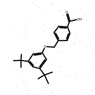 CC(C)(C)c1cc(OCc2ccc(C(=O)O)cc2)cc(C(C)(C)C)c1